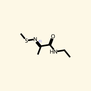 CCNC(=O)/C(C)=N/SC